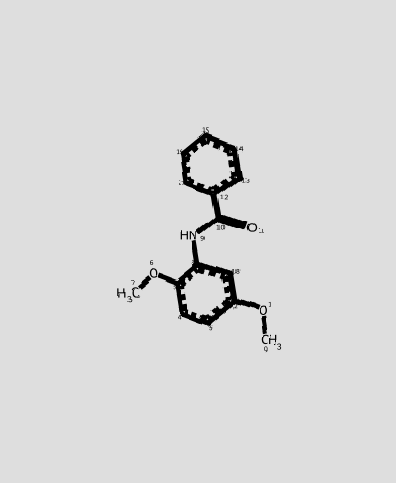 COc1ccc(OC)c(NC(=O)c2ccccc2)c1